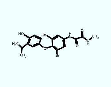 CNC(=O)C(=O)Nc1cc(Br)c(Oc2ccc(O)c(C(C)C)c2)c(Br)c1